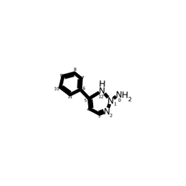 NN1N=CC=C(c2ccccc2)N1